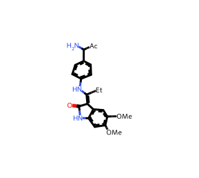 CC/C(Nc1ccc(C(N)C(C)=O)cc1)=C1/C(=O)Nc2cc(OC)c(OC)cc21